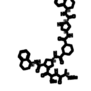 CN[C@@H](C)C(=O)NC(C(=O)N1C[C@@H](NC(=O)C2CCCC(C(=O)N[C@@H]3CN[C@H](C(=O)N[C@@H]4CCCc5ccccc54)C3)C2)CC1C(=O)N[C@@H]1CCCc2ccccc21)C(C)(C)C